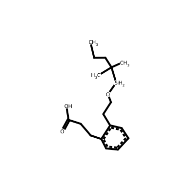 CCCC(C)(C)[SiH2]OCCc1ccccc1CCC(=O)O